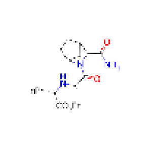 CCC[C@H](N[C@@H](C)C(=O)N1C2CCC(C2)C1C(N)=O)C(=O)OCC